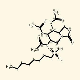 CCCCCCCCS(=O)(=O)N[C@@H]1C(OC(C)=O)C(OC(C)=O)[C@H](OC(C)=O)C2COC(=O)N21